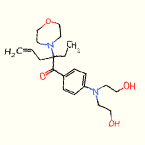 C=CCC(CC)(C(=O)c1ccc(N(CCO)CCO)cc1)N1CCOCC1